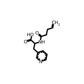 C=CCCC(=O)NC(Cc1cccnc1)C(=O)O